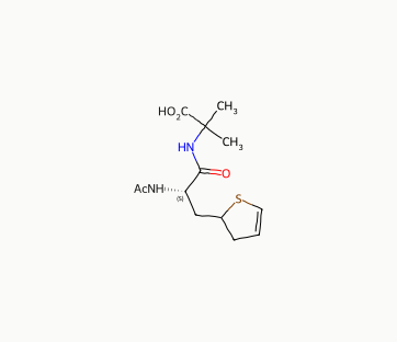 CC(=O)N[C@@H](CC1CC=CS1)C(=O)NC(C)(C)C(=O)O